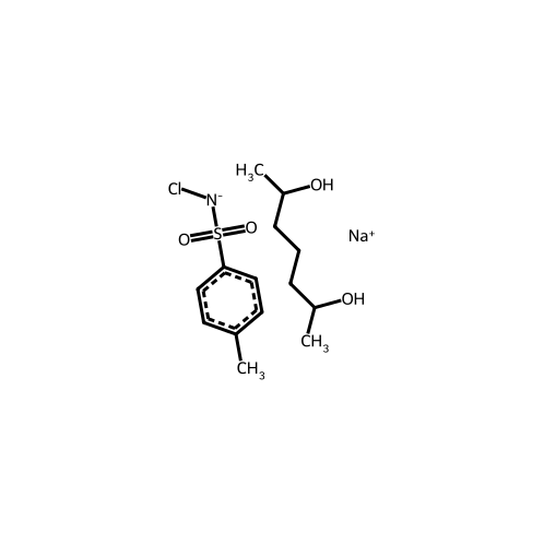 CC(O)CCCC(C)O.Cc1ccc(S(=O)(=O)[N-]Cl)cc1.[Na+]